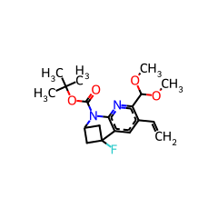 C=Cc1cc2c(nc1C(OC)OC)N(C(=O)OC(C)(C)C)C1CC2(F)C1